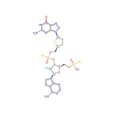 Nc1nc2c(nnn2[C@H]2CC[C@@H](COP(=O)(S)OC3[C@@H](COP(=O)(O)S)O[C@@H](n4ccc5c(N)ncnc54)[C@H]3F)S2)c(=O)[nH]1